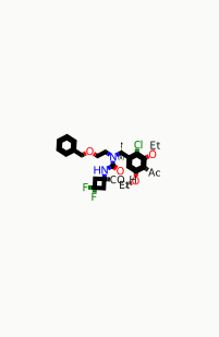 CCOc1cc([C@@H](C)N(CCOCc2ccccc2)C(=O)NC2(C(=O)O)CC(F)(F)C2)c(Cl)c(OCC)c1C(C)=O